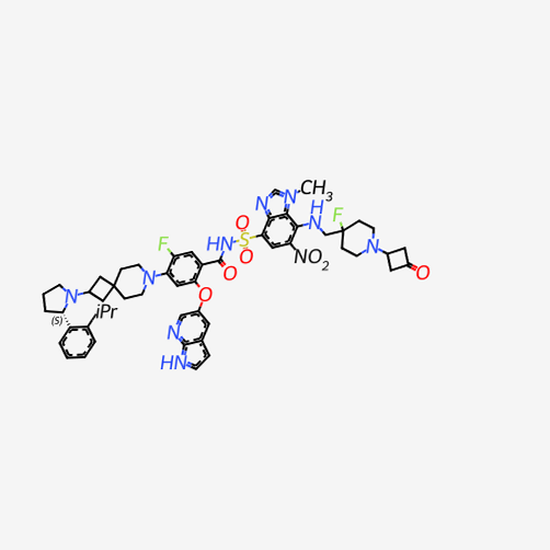 CC(C)c1ccccc1[C@@H]1CCCN1C1CC2(CCN(c3cc(Oc4cnc5[nH]ccc5c4)c(C(=O)NS(=O)(=O)c4cc([N+](=O)[O-])c(NCC5(F)CCN(C6CC(=O)C6)CC5)c5c4ncn5C)cc3F)CC2)C1